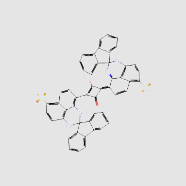 O=C1C(c2ccc3c(S(=O)(=O)O)ccc4c3c2NC2(N4)c3ccccc3-c3ccccc32)=C(O)/C1=c1/ccc2c(S(=O)(=O)O)ccc3c2c1=NC1(N3)c2ccccc2-c2ccccc21